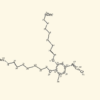 CCCCCCCCCCCCCCCCCCOc1cc(N=C=O)cc(C)c1OCCCCCCCCCCCCCCCCCC